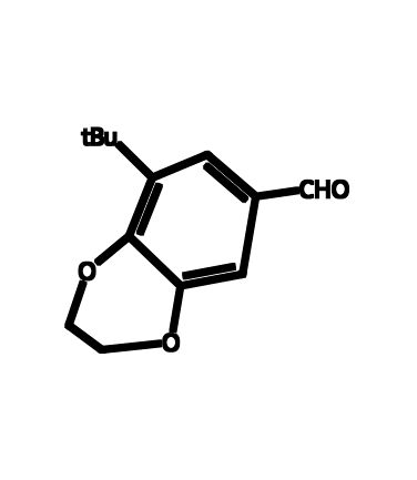 CC(C)(C)c1cc(C=O)cc2c1OCCO2